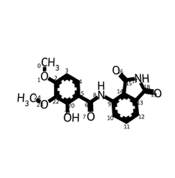 COc1ccc(C(=O)Nc2cccc3c2C(=O)NC3=O)c(O)c1OC